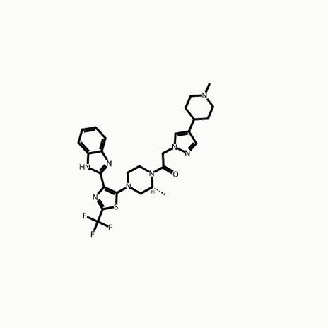 C[C@@H]1CN(c2sc(C(F)(F)F)nc2-c2nc3ccccc3[nH]2)CCN1C(=O)Cn1cc(C2CCN(C)CC2)cn1